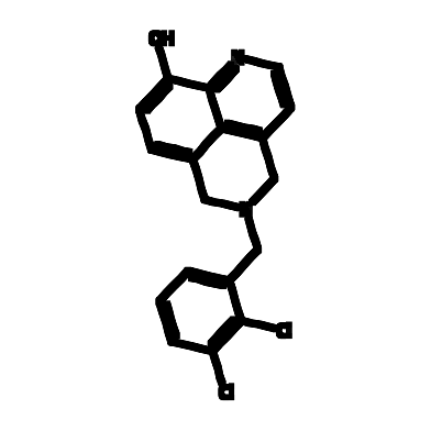 Oc1ccc2c3c(ccnc13)CN(Cc1cccc(Cl)c1Cl)C2